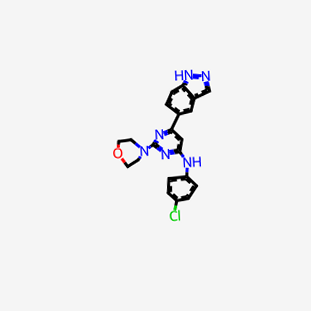 Clc1ccc(Nc2cc(-c3ccc4[nH]ncc4c3)nc(N3CCOCC3)n2)cc1